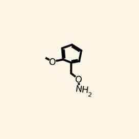 COc1ccccc1CON